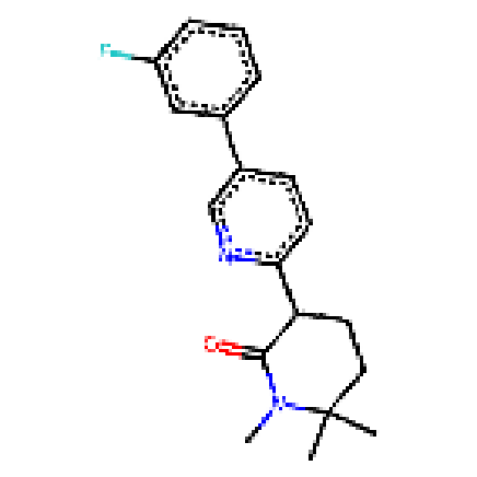 CN1C(=O)C(c2ccc(-c3cccc(F)c3)cn2)CCC1(C)C